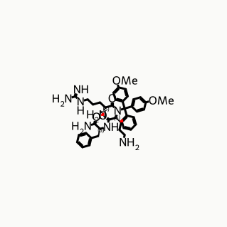 COc1ccc(C(c2ccccc2)(c2ccc(OC)cc2)N(C(=O)[C@@H](N)CCCNC(=N)N)[C@@H](CCCN)C(=O)N[C@@H](Cc2ccccc2)C(N)=O)cc1